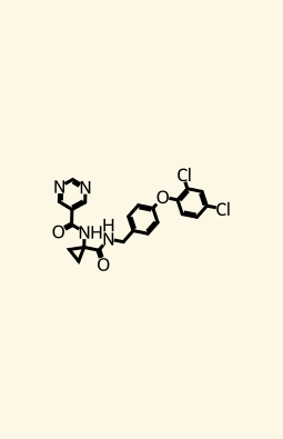 O=C(NC1(C(=O)NCc2ccc(Oc3ccc(Cl)cc3Cl)cc2)CC1)c1cncnc1